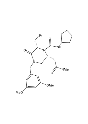 CNC(=O)C[C@@H]1CN(Cc2cc(OC)cc(OC)c2)C(=O)[C@H](CC(C)C)N1C(=O)NC1CCCC1